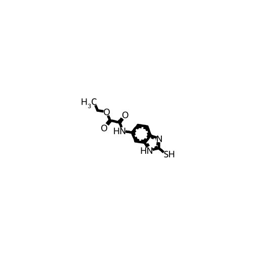 CCOC(=O)C(=O)Nc1ccc2nc(S)[nH]c2c1